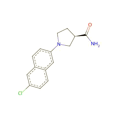 NC(=O)[C@@H]1CCN(c2ccc3cc(Cl)ccc3c2)C1